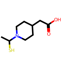 CC(S)N1CCC(CC(=O)O)CC1